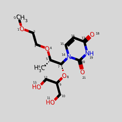 COCCO[C@@H](C)[C@@H](OC(CO)CO)n1ccc(=O)[nH]c1=O